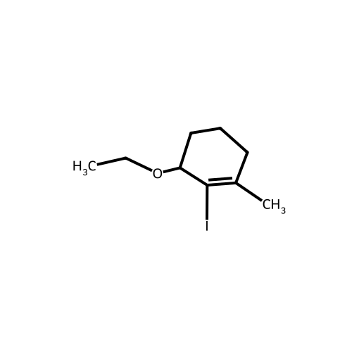 CCOC1CCCC(C)=C1I